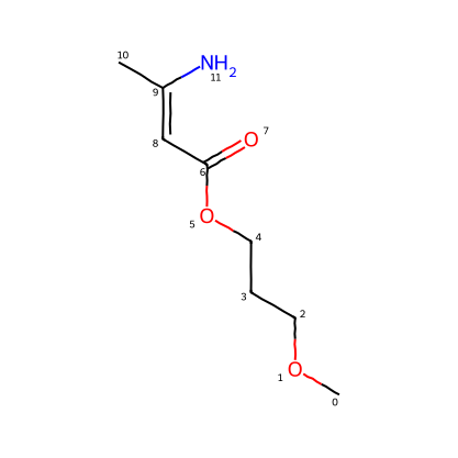 COCCCOC(=O)/C=C(/C)N